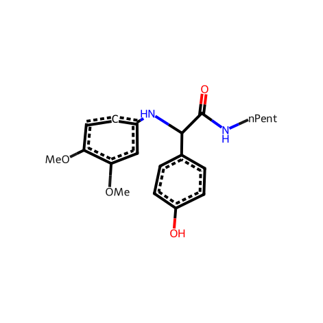 CCCCCNC(=O)C(Nc1ccc(OC)c(OC)c1)c1ccc(O)cc1